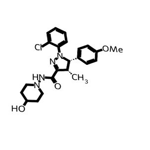 COc1ccc([C@@H]2[C@H](C)C(C(=O)NN3CCC(O)CC3)=NN2c2ccccc2Cl)cc1